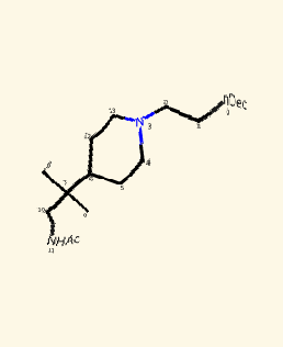 CCCCCCCCCCCCN1CCC(C(C)(C)CNC(C)=O)CC1